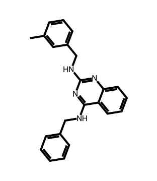 Cc1cccc(CNc2nc(NCc3ccccc3)c3ccccc3n2)c1